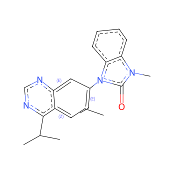 C\C=C(/C=c1/ncnc(C(C)C)/c1=C/CC)n1c(=O)n(C)c2ccccc21